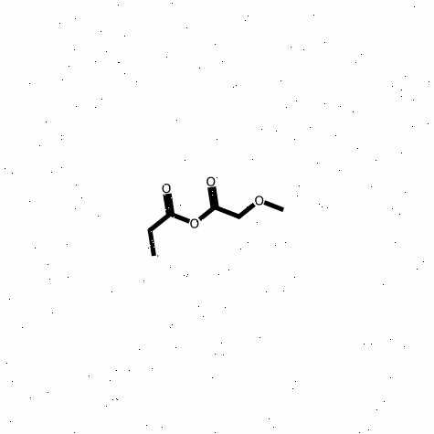 [CH2]CC(=O)OC(=O)COC